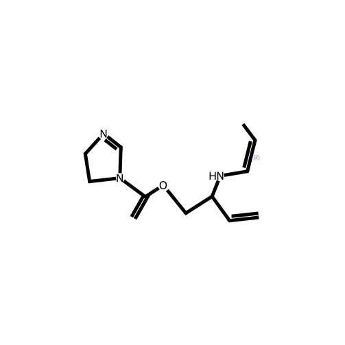 C=CC(COC(=C)N1C=NCC1)N/C=C\C